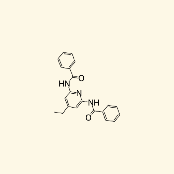 CCc1cc(NC(=O)c2ccccc2)nc(NC(=O)c2ccccc2)c1